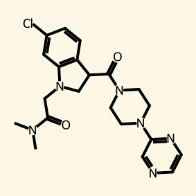 CN(C)C(=O)CN1CC(C(=O)N2CCN(c3cnccn3)CC2)c2ccc(Cl)cc21